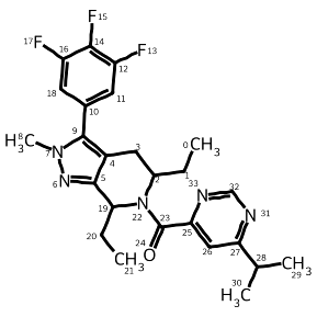 CCC1Cc2c(nn(C)c2-c2cc(F)c(F)c(F)c2)C(CC)N1C(=O)c1cc(C(C)C)ncn1